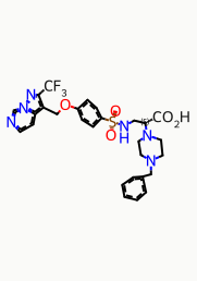 O=C(O)[C@H](CNS(=O)(=O)c1ccc(OCc2c(C(F)(F)F)nn3cnccc23)cc1)N1CCN(Cc2ccccc2)CC1